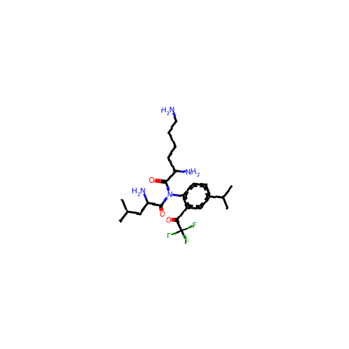 CC(C)CC(N)C(=O)N(C(=O)C(N)CCCCN)c1ccc(C(C)C)cc1C(=O)C(F)(F)F